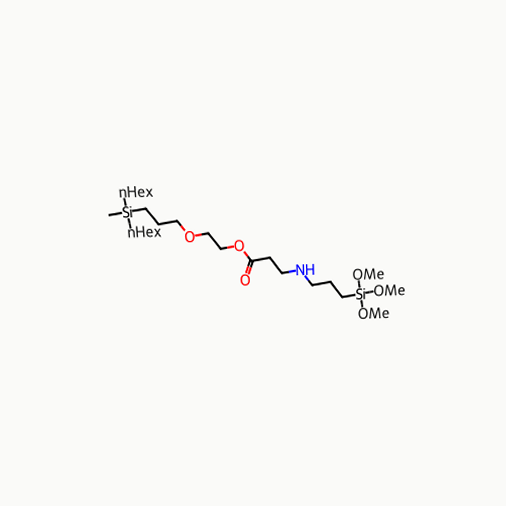 CCCCCC[Si](C)(CCCCCC)CCCOCCOC(=O)CCNCCC[Si](OC)(OC)OC